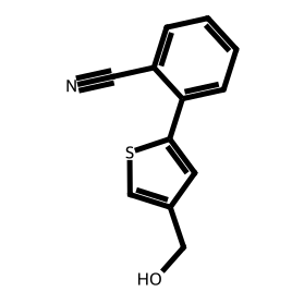 N#Cc1ccccc1-c1cc(CO)cs1